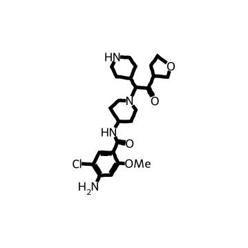 COc1cc(N)c(Cl)cc1C(=O)NC1CCN(C(C(=O)C2CCOC2)C2CCNCC2)CC1